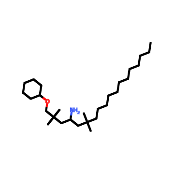 CCCCCCCCCCCCC(C)(C)CC(N)CC(C)(C)COC1CCCCC1